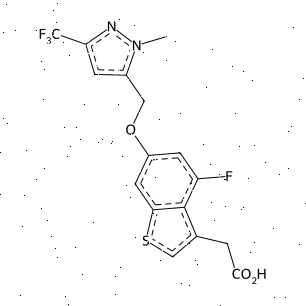 Cn1nc(C(F)(F)F)cc1COc1cc(F)c2c(CC(=O)O)csc2c1